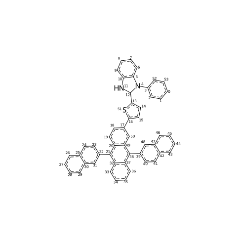 c1ccc(N2c3ccccc3NC2c2ccc(-c3ccc4c(-c5ccc6ccccc6c5)c5ccccc5c(-c5ccc6ccccc6c5)c4c3)s2)cc1